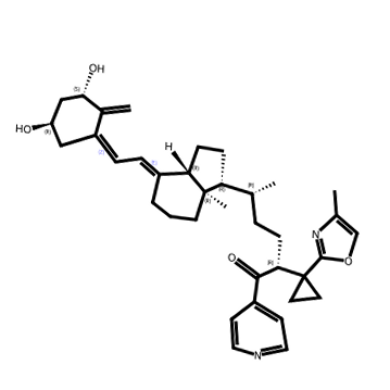 C=C1/C(=C\C=C2/CCC[C@]3(C)[C@@H]([C@H](C)CC[C@@H](C(=O)c4ccncc4)C4(c5nc(C)co5)CC4)CC[C@@H]23)C[C@@H](O)C[C@@H]1O